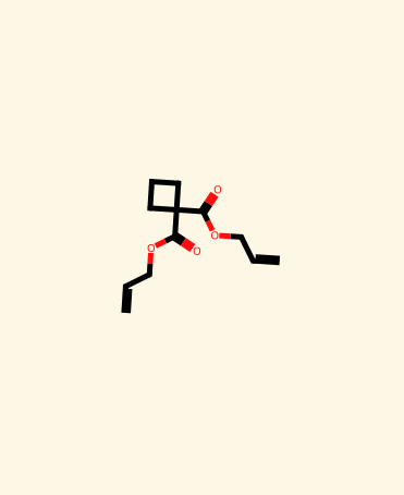 C=CCOC(=O)C1(C(=O)OCC=C)CCC1